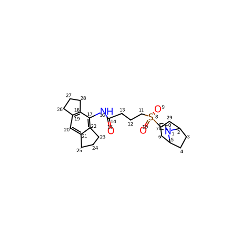 CCN1C2CCC1CC(S(=O)(=O)CCCC(=O)Nc1c3c(cc4c1CCC4)CCC3)C2